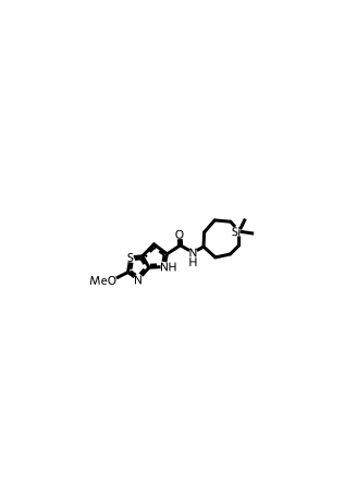 COc1nc2[nH]c(C(=O)NC3CCC[Si](C)(C)CCC3)cc2s1